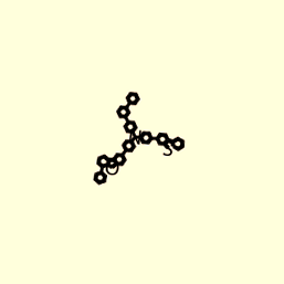 c1ccc(-c2cccc(-c3ccc(N(c4ccc(-c5ccc6c(c5)sc5ccccc56)cc4)c4ccc(-c5ccc6oc7c(-c8ccccc8)cccc7c6c5)cc4)cc3)c2)cc1